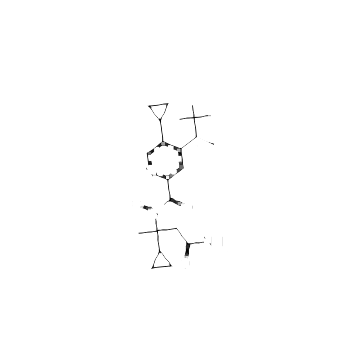 C[C@@H](c1cc(C(=O)[N+](=O)C(C)(CC(N)=O)C2CC2)ncc1C1CC1)C(F)(F)F